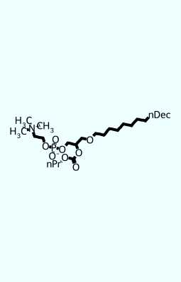 CCCCCCCCCCCCCCCCCCOCC(COP(=O)([O-])OCC[N+](C)(C)C)OC(=O)OCCC